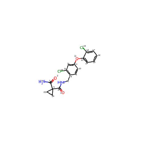 NC(=O)C1(C(=O)NCc2ccc(Oc3ccccc3Cl)cc2Cl)CC1